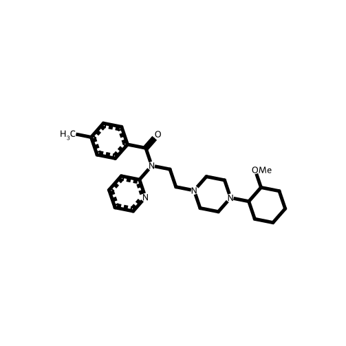 COC1CCCCC1N1CCN(CCN(C(=O)c2ccc(C)cc2)c2ccccn2)CC1